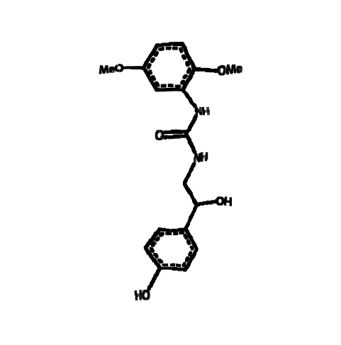 COc1ccc(OC)c(NC(=O)NCC(O)c2ccc(O)cc2)c1